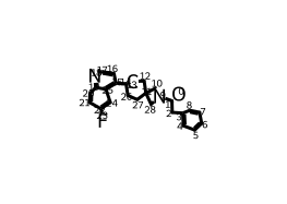 O=C(Cc1ccccc1)N1CC2(CCC(c3ccnc4ccc(F)cc34)CC2)C1